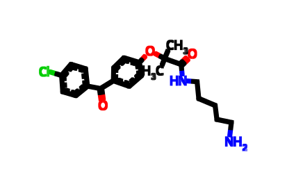 CC(C)(Oc1ccc(C(=O)c2ccc(Cl)cc2)cc1)C(=O)NCCCCCN